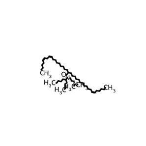 CCCCC/C=C\C/C=C\CCCCCCCCC(CCCCCCCCCCC/C=C\CCCCC)C(=O)N(CCCN(C)C)C(CCCC)CCCCC